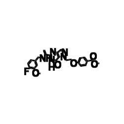 C=C(NCc1ccc(F)c(OC)c1)c1nc2cnn(CCOc3ccc(C(=O)OC)cc3)c2c(=O)[nH]1